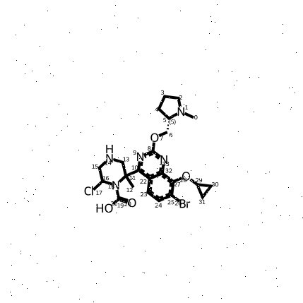 CN1CCC[C@H]1COc1nc(C2(C)CNCC(Cl)N2C(=O)O)c2ccc(Br)c(OC3CC3)c2n1